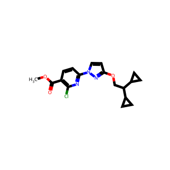 COC(=O)c1ccc(-n2ccc(OCC(C3CC3)C3CC3)n2)nc1Cl